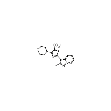 Cc1nn2ccccc2c1-c1nc(C2CCOCC2)c(C(=O)O)s1